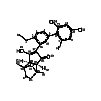 CCc1ccc(-c2c(F)cc(Cl)cc2Cl)cc1C1=C(O)[C@H]2[C@@H](C1=O)C1(C)CCC2(C)O1